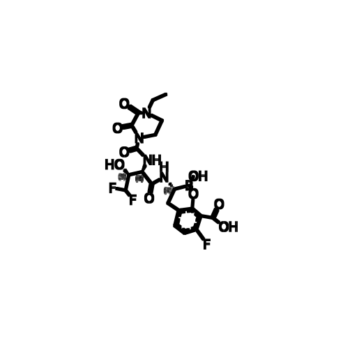 CCN1CCN(C(=O)N[C@@H](C(=O)N[C@H]2Cc3ccc(F)c(C(=O)O)c3OB2O)[C@H](O)C(F)F)C(=O)C1=O